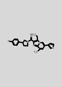 O=C(O)Cc1c(C(=O)N2CCC(c3ccc(F)cc3)C2)nc2c(C(F)(F)F)cc(-c3ccoc3)cn12